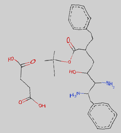 CC(C)(C)OC(=O)C(Cc1ccccc1)CC(O)C(N)C(N)c1ccccc1.O=C(O)CCC(=O)O